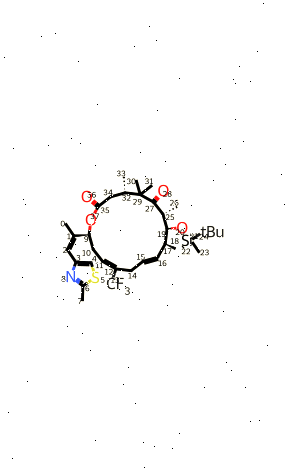 C/C(=C/c1csc(C)n1)[C@@H]1C/C=C(/C(F)(F)F)C/C=C/[C@H](C)[C@H](O[Si](C)(C)C(C)(C)C)[C@@H](C)C(=O)C(C)(C)[C@@H](C)CC(=O)O1